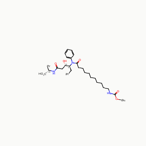 CC(C)C[C@@H]([C@@H](O)CC(=O)N[C@H](C(=O)O)C(C)C)N(C(=O)CCCCCCCCCCNC(=O)OC(C)(C)C)c1ccccc1